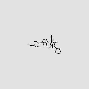 CCc1ccc(-c2ccc(C3NC(C)=C(c4ccccc4)N3C)o2)cc1